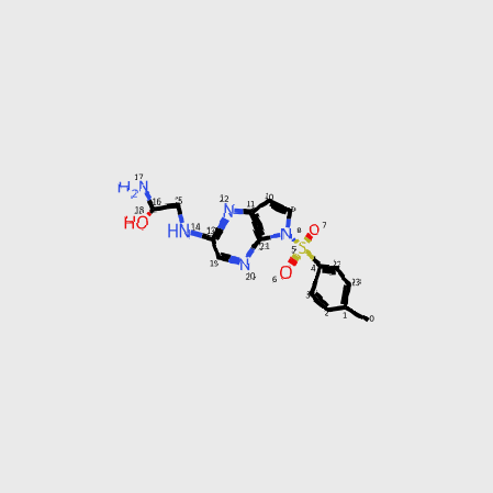 Cc1ccc(S(=O)(=O)n2ccc3nc(NCC(N)O)cnc32)cc1